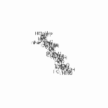 CCCCCCC(O)(CC(=O)OC(CCCCC)(CC(=O)OC(CCCC)(CC(=O)OC(CC(=O)OC(CCC)(CC(=O)OC(CC)(CC(=O)OC(C)(CC(=O)O)P(=O)(O)O)P(=O)(O)O)P(=O)(O)O)(C(C)C)P(=O)(O)O)P(=O)(O)O)P(=O)(O)O)P(=O)(O)O